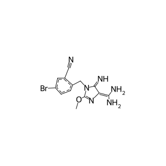 COC1=NC(=C(N)N)C(=N)N1Cc1ccc(Br)cc1C#N